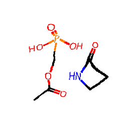 CC(=O)OCP(=O)(O)O.O=C1CCN1